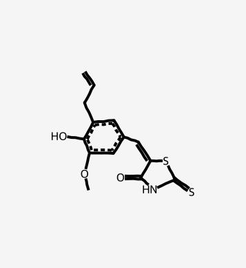 C=CCc1cc(/C=C2/SC(=S)NC2=O)cc(OC)c1O